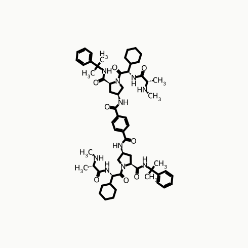 CN[C@@H](C)C(=O)N[C@H](C(=O)N1C[C@@H](NC(=O)c2ccc(C(=O)N[C@H]3C[C@@H](C(=O)NC(C)(C)c4ccccc4)N(C(=O)[C@@H](NC(=O)[C@H](C)NC)C4CCCCC4)C3)cc2)C[C@H]1C(=O)NC(C)(C)c1ccccc1)C1CCCCC1